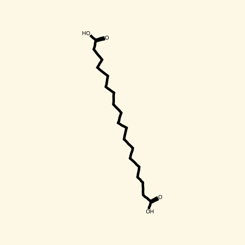 O=C(O)CCCCCCCCCCCCCCCCCC(=O)O